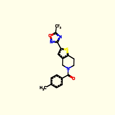 Cc1ccc(C(=O)N2CCc3sc(-c4noc(C(F)(F)F)n4)cc3C2)cc1